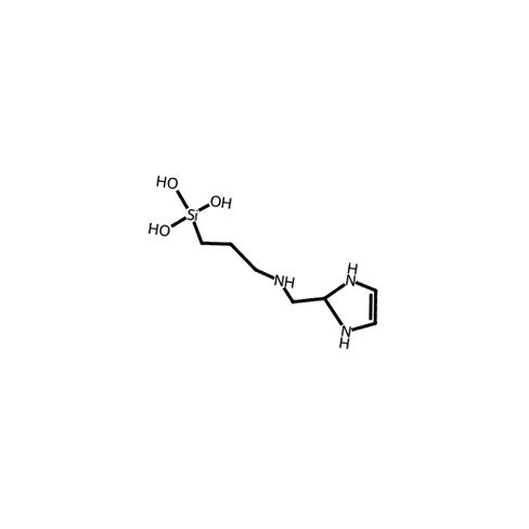 O[Si](O)(O)CCCNCC1NC=CN1